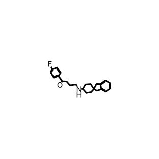 O=C(CCCNC1CCC2(CC1)Cc1ccccc1C2)c1ccc(F)cc1